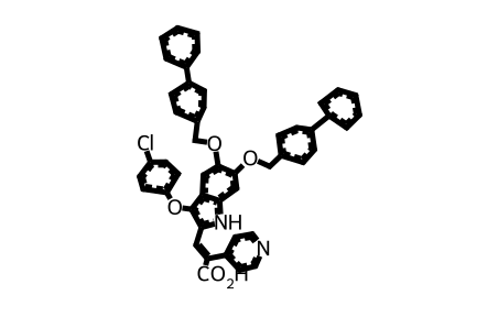 O=C(O)/C(=C/c1[nH]c2cc(OCc3ccc(-c4ccccc4)cc3)c(OCc3ccc(-c4ccccc4)cc3)cc2c1Oc1ccc(Cl)cc1)c1ccncc1